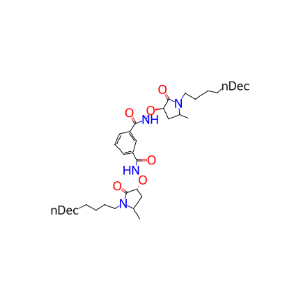 CCCCCCCCCCCCCCN1C(=O)[C@H](ONC(=O)c2cccc(C(=O)NO[C@@H]3CC(C)N(CCCCCCCCCCCCCC)C3=O)c2)CC1C